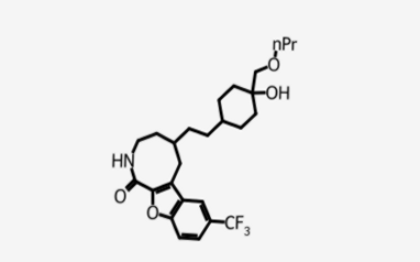 CCCOCC1(O)CCC(CCC2CCNC(=O)c3oc4ccc(C(F)(F)F)cc4c3C2)CC1